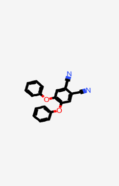 N#Cc1cc(Oc2ccccc2)c(Oc2ccccc2)cc1C#N